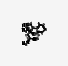 C=CC(c1ccccc1)[N+](C)(C)CC(N)O